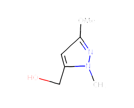 COc1cc(CO)n(C)n1